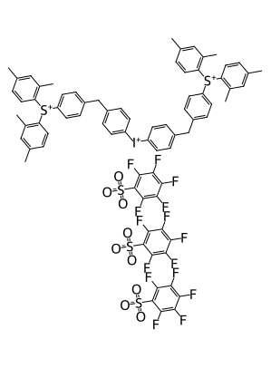 Cc1ccc([S+](c2ccc(Cc3ccc([I+]c4ccc(Cc5ccc([S+](c6ccc(C)cc6C)c6ccc(C)cc6C)cc5)cc4)cc3)cc2)c2ccc(C)cc2C)c(C)c1.O=S(=O)([O-])c1c(F)c(F)c(F)c(F)c1F.O=S(=O)([O-])c1c(F)c(F)c(F)c(F)c1F.O=S(=O)([O-])c1c(F)c(F)c(F)c(F)c1F